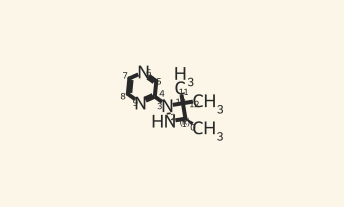 C[C@H]1NN(c2cnccn2)C1(C)C